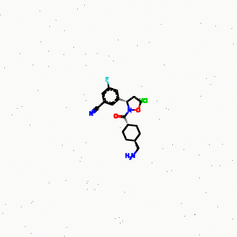 Cl.N#Cc1cc(F)cc([C@@H]2CCON2C(=O)[C@H]2CC[C@H](CN)CC2)c1